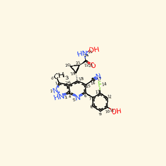 Cc1n[nH]c2nc(-c3ccc(O)cc3F)c(C#N)c([C@@H]3C[C@H]3C(=O)NO)c12